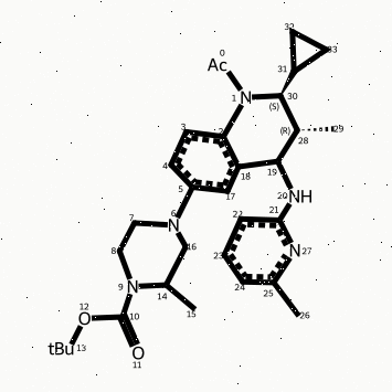 CC(=O)N1c2ccc(N3CCN(C(=O)OC(C)(C)C)C(C)C3)cc2C(Nc2cccc(C)n2)[C@@H](C)[C@@H]1C1CC1